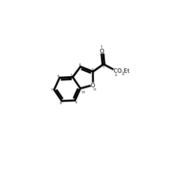 CCOC(=O)C(=O)c1cc2ccccc2o1